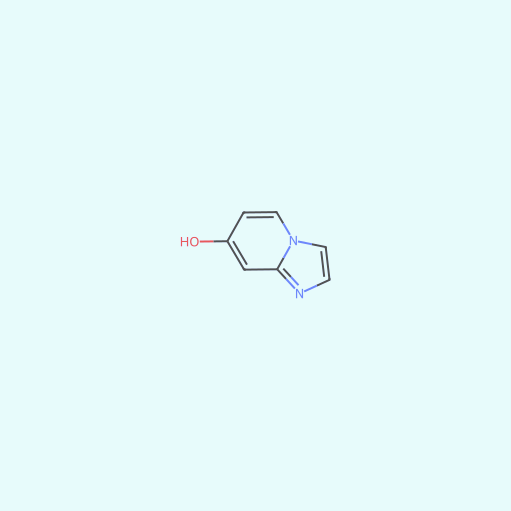 Oc1ccn2ccnc2c1